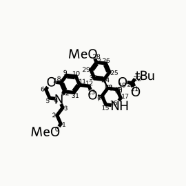 COCCCN1CCOc2ccc(CO[C@H]3CNC[C@@H](OC(=O)C(C)(C)C)[C@@H]3c3ccc(OC)cc3)cc21